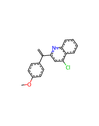 C=C(c1ccc(OC)cc1)c1cc(Cl)c2ccccc2n1